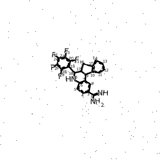 N=C(N)c1ccc2c(c1)C1c3ccccc3CC1C(c1c(F)c(F)c(F)c(F)c1F)N2